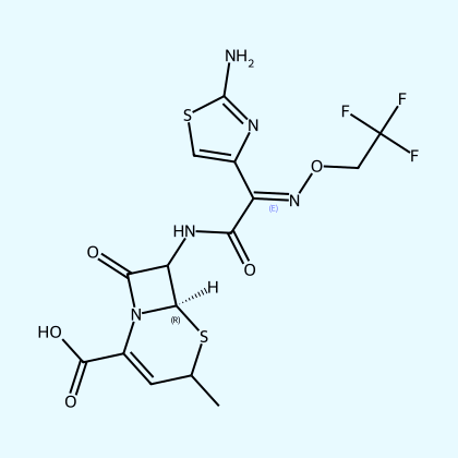 CC1C=C(C(=O)O)N2C(=O)C(NC(=O)/C(=N/OCC(F)(F)F)c3csc(N)n3)[C@H]2S1